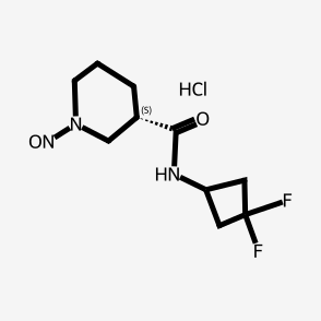 Cl.O=NN1CCC[C@H](C(=O)NC2CC(F)(F)C2)C1